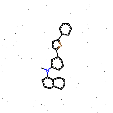 CN(c1cccc(-c2ccc(-c3ccccc3)s2)c1)c1cccc2ccccc12